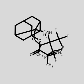 C=C(C)C(=O)OC12CC3CC(C1)C(C)(OC(C)C(O)(C(F)(F)F)C(F)(F)F)C(C3)C2